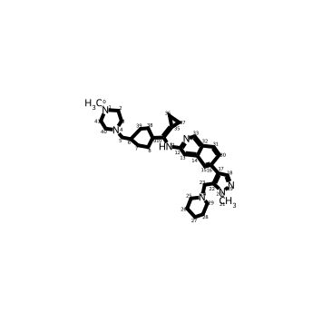 CN1CCN(CC2CCC(C(Nc3cc4cc(-c5cnn(C)c5CN5CCCCC5)ccc4cn3)=C3CC3)CC2)CC1